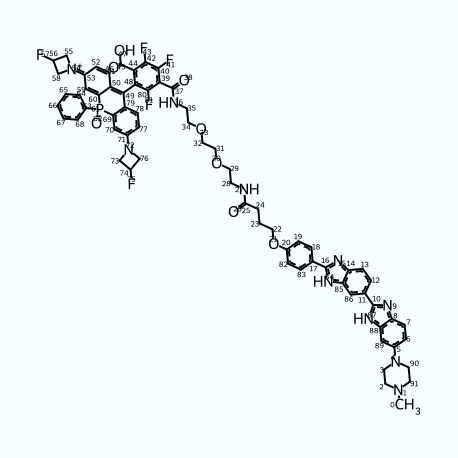 CN1CCN(c2ccc3nc(-c4ccc5nc(-c6ccc(OCCCC(=O)NCCOCCOCCNC(=O)c7c(F)c(F)c(C(=O)O)c(C8=C9C=CC(=[N+]%10CC(F)C%10)C=C9P(=O)(c9ccccc9)c9cc(N%10CC(F)C%10)ccc98)c7F)cc6)[nH]c5c4)[nH]c3c2)CC1